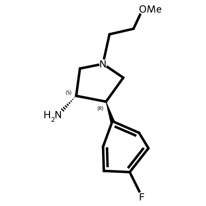 COCCN1C[C@@H](N)[C@H](c2ccc(F)cc2)C1